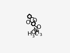 CCN(CC)C(=O)c1ccc2c(c1)OCc1ccccc1C2=O